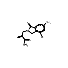 C=C(CN1Cc2c(Br)cc(N)cc2C1=O)C(N)=O